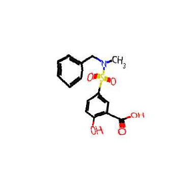 CN(Cc1ccccc1)S(=O)(=O)c1ccc(O)c(C(=O)O)c1